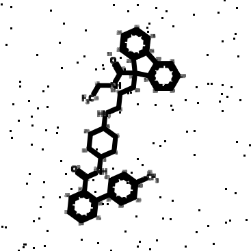 O=C(NC1CCC(NCCCC2(C(=O)NCC(F)(F)F)c3ccccc3-c3ccccc32)CC1)c1ccccc1-c1ccc(C(F)(F)F)cc1